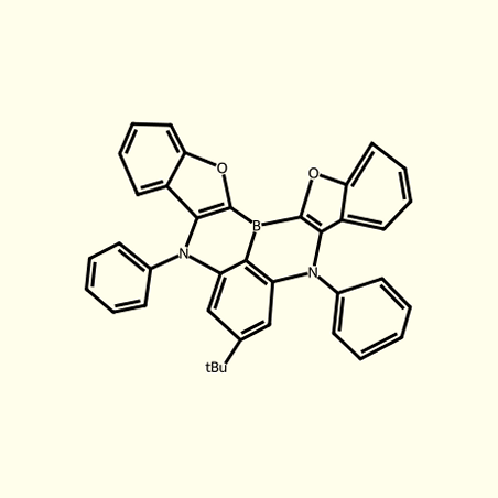 CC(C)(C)c1cc2c3c(c1)N(c1ccccc1)c1c(oc4ccccc14)B3c1oc3ccccc3c1N2c1ccccc1